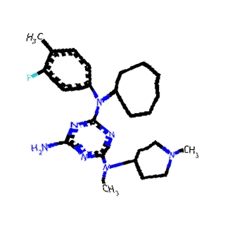 Cc1ccc(N(c2nc(N)nc(N(C)C3CCN(C)CC3)n2)C2CCCCCC2)cc1F